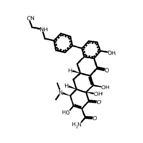 CN(C)[C@@H]1C(O)=C(C(N)=O)C(=O)[C@@]2(O)C(O)=C3C(=O)c4c(O)ccc(-c5ccc(CNCC#N)cc5)c4C[C@H]3C[C@@H]12